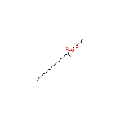 C=CCOCOC(=O)C(=C)CCCCCCCCCCCCCC